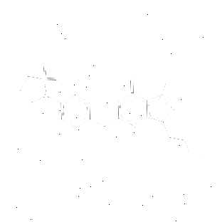 CCCc1nn(C)c2c(=O)[nH]c(Cc3ccc(N4CCCS4(=O)=O)cc3)nc12